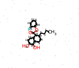 CCCCc1ccc2c(O)c(O)ccc2c1C(=O)Oc1ccccc1F